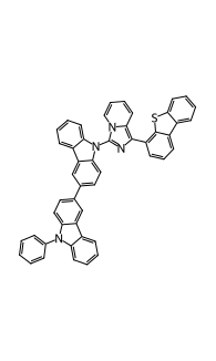 c1ccc(-n2c3ccccc3c3cc(-c4ccc5c(c4)c4ccccc4n5-c4nc(-c5cccc6c5sc5ccccc56)c5ccccn45)ccc32)cc1